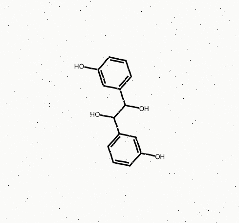 Oc1cccc(C(O)C(O)c2cccc(O)c2)c1